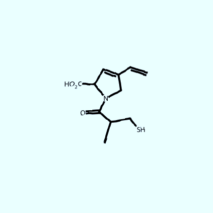 C=CC1=CC(C(=O)O)N(C(=O)C(C)CS)C1